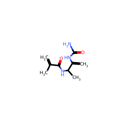 C=C(C)C(=O)NC(C)C(=C)NC(N)=O